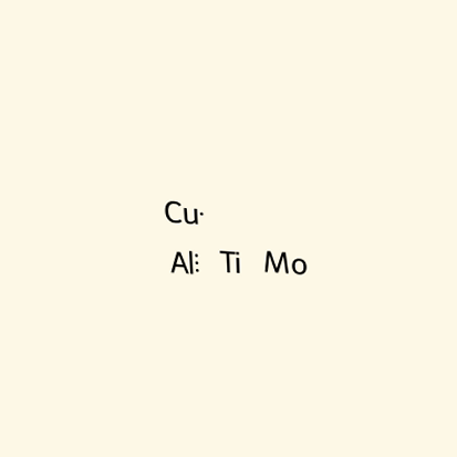 [Al].[Cu].[Mo].[Ti]